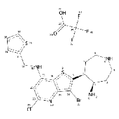 N[C@@H]1CCNCC[C@@H]1c1sc2c(NCc3cccs3)cc(Cl)nc2c1Br.O=C(O)C(F)(F)F